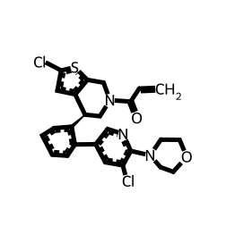 C=CC(=O)N1Cc2sc(Cl)cc2[C@H](c2ccccc2-c2cnc(N3CCOCC3)c(Cl)c2)C1